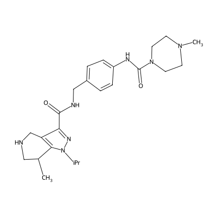 CC1CNCc2c(C(=O)NCc3ccc(NC(=O)N4CCN(C)CC4)cc3)nn(C(C)C)c21